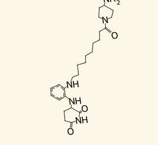 NC1CCN(C(=O)CCCCCCCCCNc2ccccc2NC2CCC(=O)NC2=O)CC1